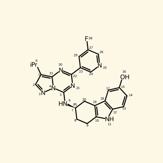 CC(C)c1cnn2c(N[C@@H]3CCc4[nH]c5ccc(O)cc5c4C3)nc(-c3cncc(F)c3)nc12